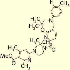 COC(=O)c1c(C)cc(N2CCN(C(=O)c3ccc4c(n3)OC(C)(C)CN(c3ccc(C)c(F)c3)C4)C(C)(C)C2)nc1C